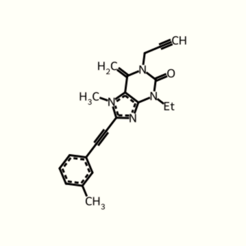 C#CCN1C(=C)c2c(nc(C#Cc3cccc(C)c3)n2C)N(CC)C1=O